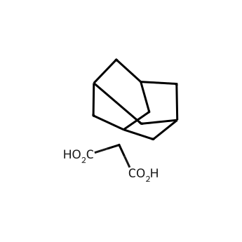 C1C2CC3CC1CC(C2)C3.O=C(O)CC(=O)O